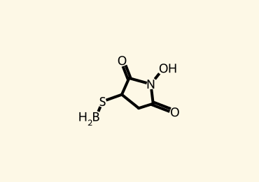 BSC1CC(=O)N(O)C1=O